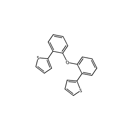 c1csc(-c2ccccc2Oc2ccccc2-c2cccs2)c1